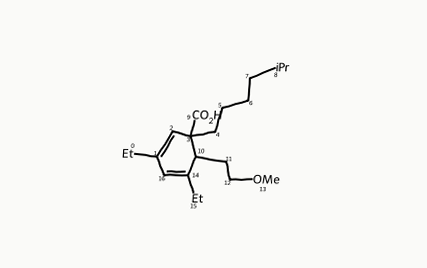 CCC1=CC(CCCCC(C)C)(C(=O)O)C(CCOC)C(CC)=C1